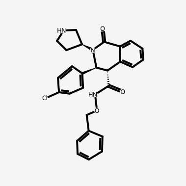 O=C(NOCc1ccccc1)[C@H]1c2ccccc2C(=O)N([C@H]2CCNC2)[C@@H]1c1ccc(Cl)cc1